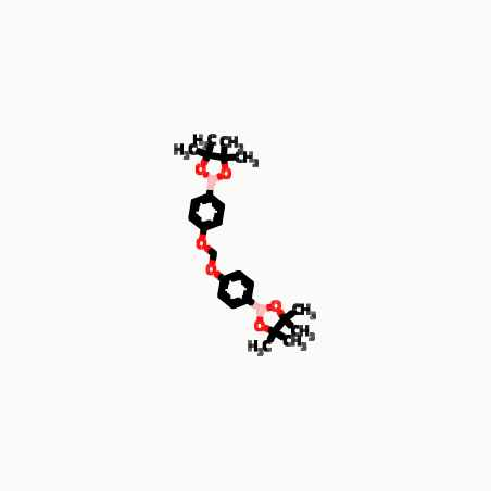 CC1(C)OB(c2ccc(OCOc3ccc(B4OC(C)(C)C(C)(C)O4)cc3)cc2)OC1(C)C